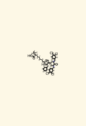 CC(C)(C)N(CCCCCCC(=O)N[C@@H](Cc1ccccc1)C(=O)N1C/C(=C\c2ccc(Cl)c(Cl)c2)C(=O)/C(=C/c2ccc(Cl)c(Cl)c2)C1)C(=O)O